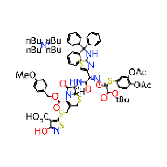 CCCC[N+](CCCC)(CCCC)CCCC.COc1ccc(COC(=O)C2=C(CSc3snc(O)c3C(=O)O)CS[C@H]3[C@H](NC(=O)/C(=N\O[C@H](Sc4ccc(OC(C)=O)c(OC(C)=O)c4)C(=O)OC(C)(C)C)c4csc(NC(c5ccccc5)(c5ccccc5)c5ccccc5)n4)C(=O)N23)cc1